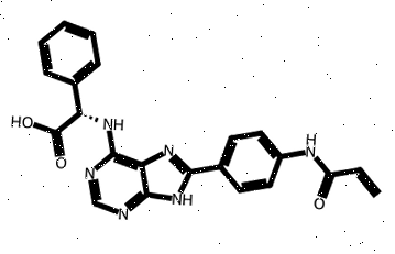 C=CC(=O)Nc1ccc(-c2nc3c(N[C@H](C(=O)O)c4ccccc4)ncnc3[nH]2)cc1